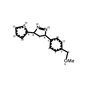 COCc1ccc(C2CC(c3cccs3)N=N2)cc1